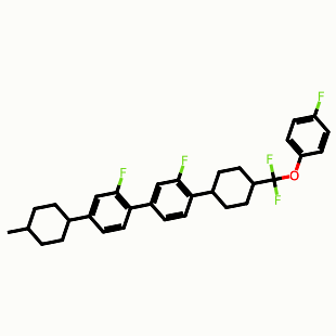 CC1CCC(c2ccc(-c3ccc(C4CCC(C(F)(F)Oc5ccc(F)cc5)CC4)c(F)c3)c(F)c2)CC1